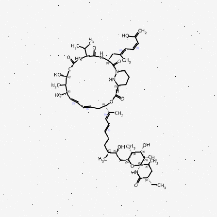 C=C(O)/C=C\C=C(/C)C[C@@H]1NC(=O)C(C(C)C)NC(=O)C[C@H](O)C(C)[C@H](O)/C=C/C=C/C[C@@H](/C(C)=C/C=C/CC[C@H](C)[C@@H](O)C[C@@H]2O[C@@]3(NC(=O)[C@@H](CC)C[C@@H]3C)[C@@H](C)[C@@H](O)[C@H]2C)OC(=O)[C@@H]2CCCN(N2)C1=O